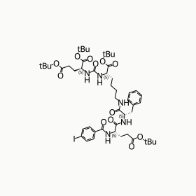 CC(C)(C)OC(=O)CC[C@H](NC(=O)c1ccc(I)cc1)C(=O)N[C@@H](Cc1ccccc1)C(=O)NCCCC[C@H](NC(=O)N[C@@H](CCC(=O)OC(C)(C)C)C(=O)OC(C)(C)C)C(=O)OC(C)(C)C